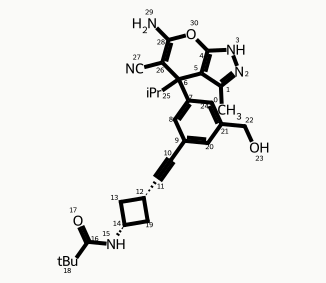 Cc1n[nH]c2c1C(c1cc(C#C[C@H]3C[C@@H](NC(=O)C(C)(C)C)C3)cc(CO)c1)(C(C)C)C(C#N)=C(N)O2